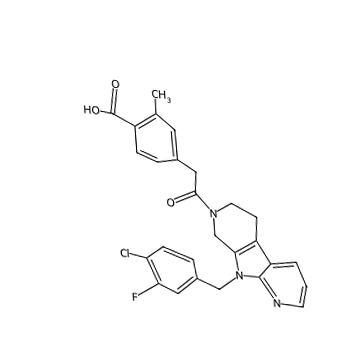 Cc1cc(CC(=O)N2CCc3c(n(Cc4ccc(Cl)c(F)c4)c4ncccc34)C2)ccc1C(=O)O